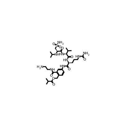 CC(C)N[C@@H](CS(N)(=O)=O)C(=O)N[C@H](C(=O)N[C@@H](CCCNC(N)=O)C(=O)Nc1ccc(COC(=O)C(C)C)c(C(=O)NCCN)c1)C(C)C